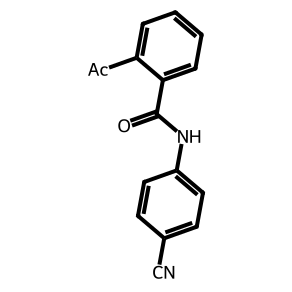 CC(=O)c1ccccc1C(=O)Nc1ccc(C#N)cc1